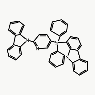 c1ccc([Si](c2ccccc2)(c2ccc(-n3c4ccccc4c4ccccc43)nc2)c2cccc3c2sc2ccccc23)cc1